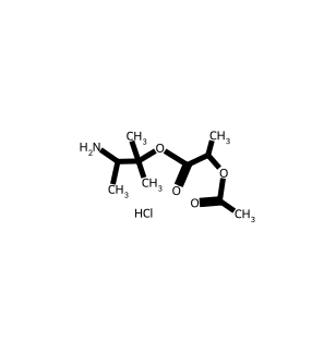 CC(=O)OC(C)C(=O)OC(C)(C)C(C)N.Cl